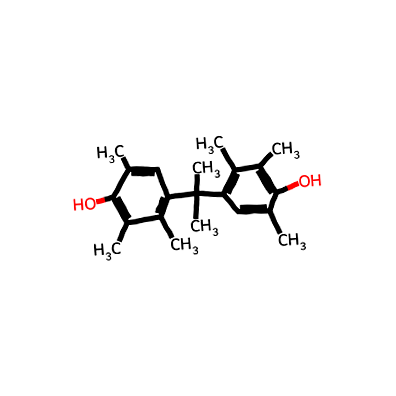 Cc1cc(C(C)(C)c2cc(C)c(O)c(C)c2C)c(C)c(C)c1O